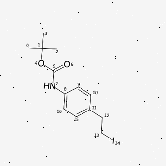 CC(C)(C)OC(=O)Nc1ccc(CCI)cc1